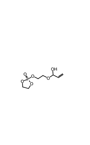 C=CC(O)OCCOP1(=O)OCCO1